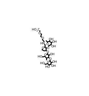 CC1OC(OC2C(CNCCOCCOCC(=O)O)OCCC2OC2OC(CO)C(C)C(OC3OC(CO)C(O)C(O)C3O)C2O)C(O)C(O)C1O